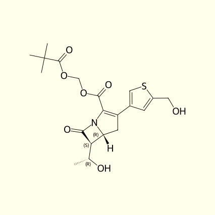 C[C@@H](O)[C@H]1C(=O)N2C(C(=O)OCOC(=O)C(C)(C)C)=C(c3csc(CO)c3)C[C@H]12